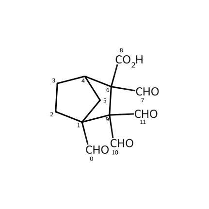 O=CC12CCC(C1)C(C=O)(C(=O)O)C2(C=O)C=O